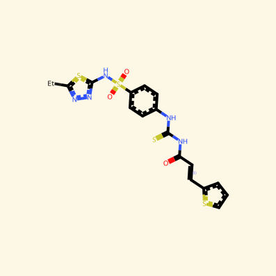 CCc1nnc(NS(=O)(=O)c2ccc(NC(=S)NC(=O)/C=C/c3cccs3)cc2)s1